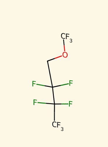 FC(F)(F)OCC(F)(F)C(F)(F)C(F)(F)F